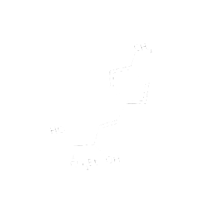 CCOC(=O)[C@H](O)[C@@H](O)/C=C/c1ccc(C)cc1